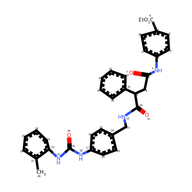 CCOC(=O)c1ccc(NC(=O)CC(C(=O)NCc2ccc(NC(=O)Nc3ccccc3C)cc2)c2ccccc2)cc1